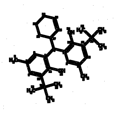 Cc1cc(C(c2cc(C)cc(C(C)(C)C)c2O)C2C=CCCC2)c(O)c(C(C)(C)C)c1